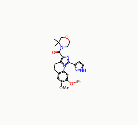 COc1cc2c(cc1OC(C)C)-n1c(-c3cc[nH]n3)nc(C(=O)N3CCOCC3(C)C)c1CC2